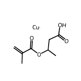 C=C(C)C(=O)OC(C)CC(=O)O.[Cu]